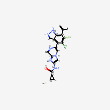 C=C(C)c1c(F)c(Cl)c(-c2cn3cc(NC(=O)[C@@H]4C[C@@H]4F)nc3cn2)c2cn[nH]c12